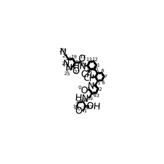 COc1nc(-c2cccc(-c3cccc(NC(=O)c4cc(C#N)nn(C)c4=O)c3Cl)c2Cl)ccc1CNC1CCOC[C@@H]1O